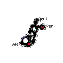 CCCCCC(=O)Nc1cccc(CN(Cc2cc(CN(Cc3ccccn3)Cc3cccc(NC(=O)CCCCC)n3)cc(OCCCCN(CC(=O)NCn3nnc4ccccc43)C(=O)CCCCCN3C(=O)CC(SCCC(=O)N(C)[C@H](C)C(=O)O[C@@H]4CC(=O)N(C)c5cc(cc(OC)c5Cl)C/C(C)=C/C=C/[C@H](OC)[C@]5(O)C[C@@H](OC(=O)N5)[C@H](C)[C@H]5O[C@@]54C)C3=O)c2)Cc2ccccn2)n1